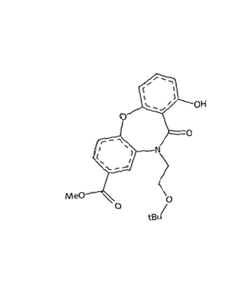 COC(=O)c1ccc2c(c1)N(CCOC(C)(C)C)C(=O)c1c(O)cccc1O2